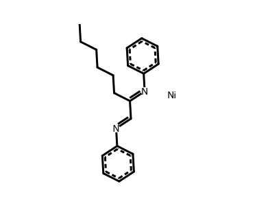 CCCCCCC(/C=N/c1ccccc1)=N\c1ccccc1.[Ni]